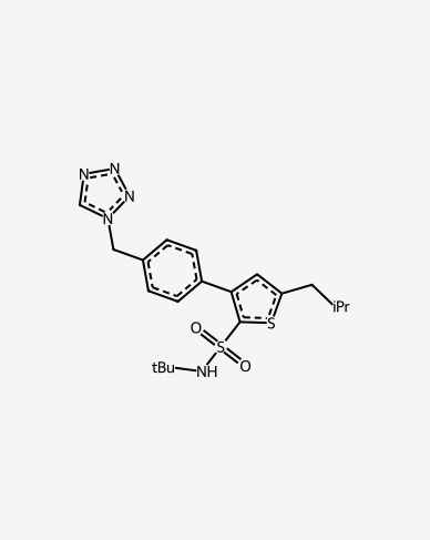 CC(C)Cc1cc(-c2ccc(Cn3cnnn3)cc2)c(S(=O)(=O)NC(C)(C)C)s1